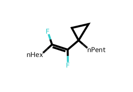 CCCCCCC(F)=C(F)C1(CCCCC)CC1